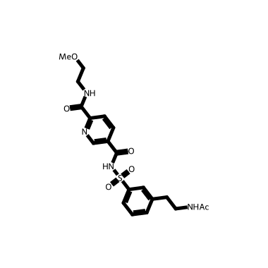 COCCNC(=O)c1ccc(C(=O)NS(=O)(=O)c2cccc(CCNC(C)=O)c2)cn1